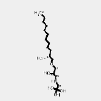 CCCCCCCCCCCCOCC(O)CNCC(O)(O)O.Cl